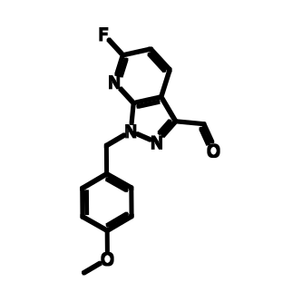 COc1ccc(Cn2nc(C=O)c3ccc(F)nc32)cc1